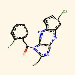 CCc1nc2nc3cc(Cl)ccc3nc2n1C(=O)c1ccccc1F